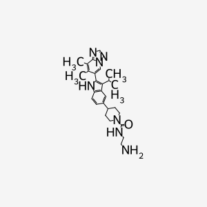 Cc1c(-c2[nH]c3ccc(C4CCN(C(=O)NCCN)CC4)cc3c2C(C)C)cn2ncnc2c1C